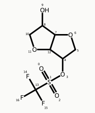 O=S(=O)(OC1COC2C(O)COC12)C(F)(F)F